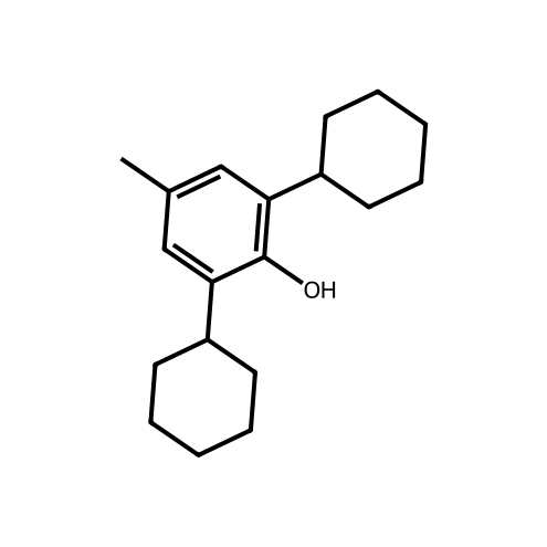 Cc1cc(C2CCCCC2)c(O)c(C2CCCCC2)c1